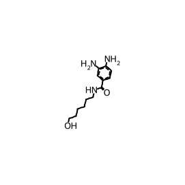 Nc1ccc(C(=O)NCCCCCCO)cc1N